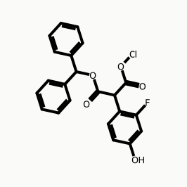 O=C(OCl)C(C(=O)OC(c1ccccc1)c1ccccc1)c1ccc(O)cc1F